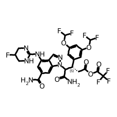 NC(=O)c1cc(NC2=NCC(F)CN2)c2cnn(C(C(N)=O)[C@@H](CC(=O)OC(=O)C(F)(F)F)c3cc(OC(F)F)cc(OC(F)F)c3)c2c1